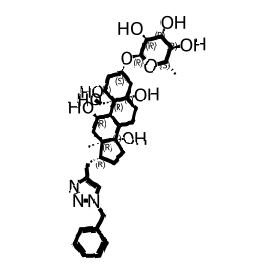 C[C@@H]1O[C@@H](O[C@H]2C[C@@H](O)[C@]3(CO)C4C(CC[C@]3(O)C2)[C@@]2(O)CC[C@H](Cc3cn(Cc5ccccc5)nn3)[C@@]2(C)C[C@H]4O)[C@H](O)[C@H](O)[C@H]1O